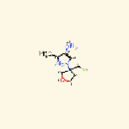 Cc1nn(C2(CF)CCOC2)cc1N